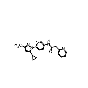 Cc1cc(C2CC2)n(-c2ccc(NC(=O)Cc3ccccn3)cn2)n1